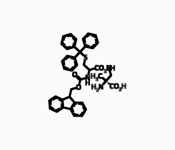 C[C@](N)(CS)C(=O)O.O=C(NC(CSC(c1ccccc1)(c1ccccc1)c1ccccc1)C(=O)O)OCC1c2ccccc2-c2ccccc21